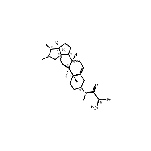 CC(C)[C@@H](N)C(=O)N(C)[C@H]1CC[C@@]2(C)C(=CC[C@H]3[C@@H]4CC[C@@H]5[C@H](C)N(C)C[C@@]54CC[C@@H]32)C1